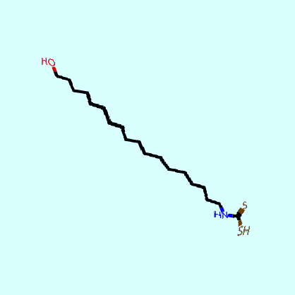 OCCCCCCCCCCCCCCCCCCNC(=S)S